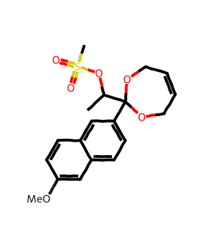 COc1ccc2cc(C3(C(C)OS(C)(=O)=O)OCC=CCO3)ccc2c1